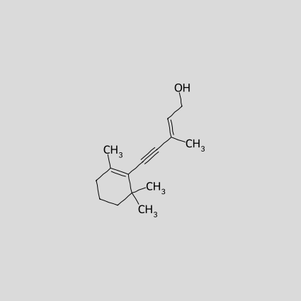 CC1=C(C#C/C(C)=C/CO)C(C)(C)CCC1